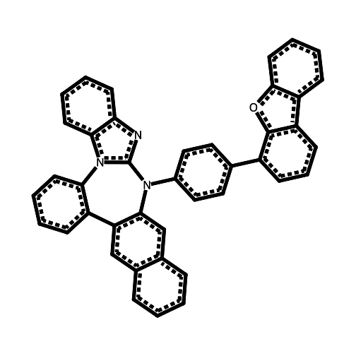 c1ccc2c(c1)-c1cc3ccccc3cc1N(c1ccc(-c3cccc4c3oc3ccccc34)cc1)c1nc3ccccc3n1-2